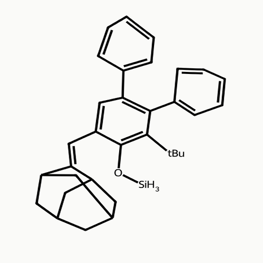 CC(C)(C)c1c(O[SiH3])c(C=C2C3CC4CC(C3)CC2C4)cc(-c2ccccc2)c1-c1ccccc1